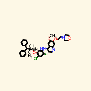 COc1cc2c(Nc3cc(O[SiH2]C(C)(C)C(c4ccccc4)c4ccccc4)c(Cl)cc3F)ccnc2cc1OCCN1CCOCC1